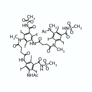 CC(=O)Nc1c(I)c(NC(=O)CCC(=O)N(C)c2c(I)c(NC(=O)CCC(=O)N(C)c3c(I)c(C(=O)NS(C)(=O)=O)c(I)c(N(C)C(C)=O)c3I)c(I)c(C(=O)NS(C)(=O)=O)c2I)c(I)c(C(=O)NS(C)(=O)=O)c1I